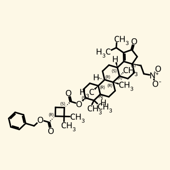 CC(C)C1=C2[C@H]3CC[C@@H]4[C@@]5(C)CC[C@H](OC(=O)[C@H]6C[C@@H](C(=O)OCc7ccccc7)C6(C)C)C(C)(C)[C@@H]5CC[C@@]4(C)[C@]3(C)CC[C@@]2(CC[N+](=O)[O-])CC1=O